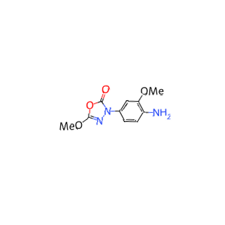 COc1nn(-c2ccc(N)c(OC)c2)c(=O)o1